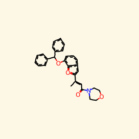 C/C(=C\C(=O)N1CCOCC1)c1cc2cccc(OC(c3ccccc3)c3ccccc3)c2o1